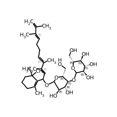 C=C(C)/C(C)=C/CC/C=C(C)/C(C)=C/C(OC1O[C@H](CO)[C@@H](OC2O[C@H](CO)[C@@H](O)[C@H](O)[C@H]2O)[C@H](O)[C@H]1O)C1=C(C)CCCC1(C)C